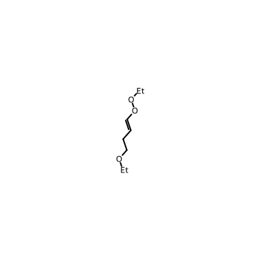 CCOCCC=COOCC